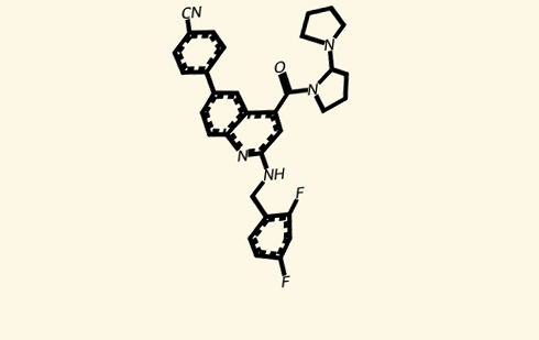 N#Cc1ccc(-c2ccc3nc(NCc4ccc(F)cc4F)cc(C(=O)N4CCCC4N4CCCC4)c3c2)cc1